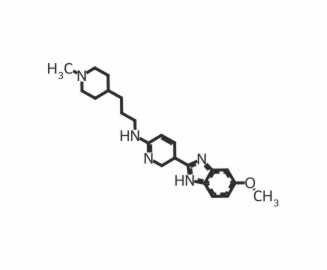 COc1ccc2[nH]c(C3C=CC(NCCCC4CCN(C)CC4)=NC3)nc2c1